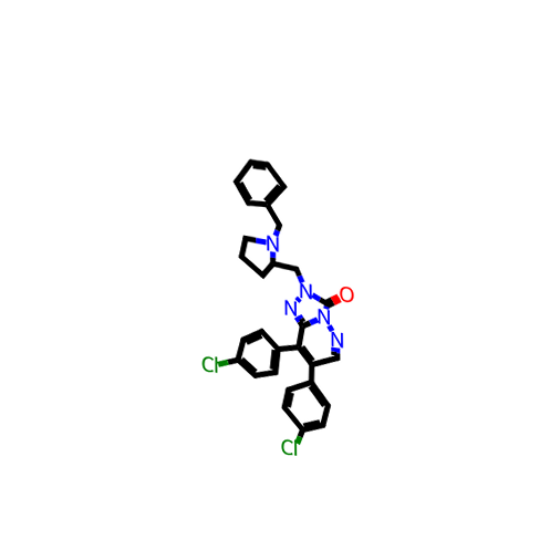 O=c1n(CC2CCCN2Cc2ccccc2)nc2c(-c3ccc(Cl)cc3)c(-c3ccc(Cl)cc3)cnn12